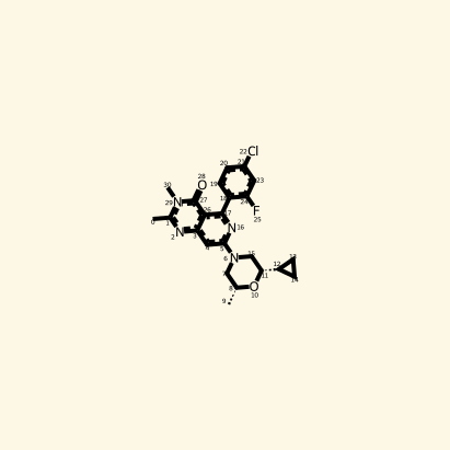 Cc1nc2cc(N3C[C@@H](C)O[C@@H](C4CC4)C3)nc(-c3ccc(Cl)cc3F)c2c(=O)n1C